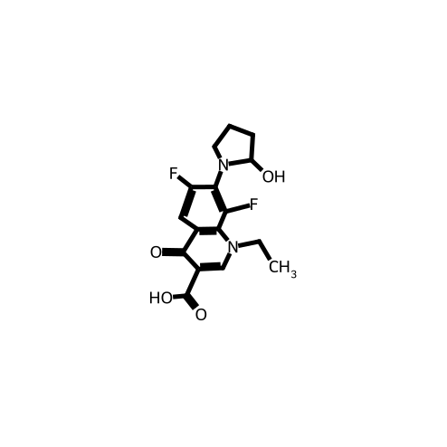 CCn1cc(C(=O)O)c(=O)c2cc(F)c(N3CCCC3O)c(F)c21